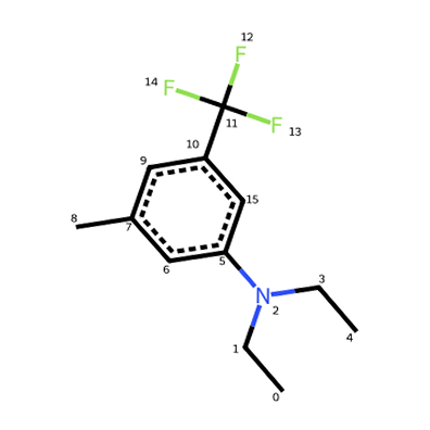 CCN(CC)c1cc(C)cc(C(F)(F)F)c1